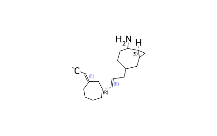 CC/C=C1\CCCC[C@@H](/C=C/CC2CCC(N)[C@H]3CC3C2)C1